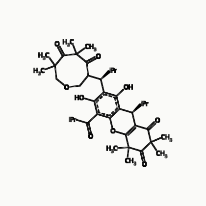 CC(C)C(=O)c1c(O)c([C@H](C(C)C)C2COCC(C)(C)C(=O)C(C)(C)C2=O)c(O)c2c1OC1=C(C(=O)C(C)(C)C(=O)C1(C)C)[C@@H]2C(C)C